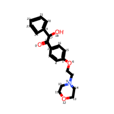 O=C(c1ccc(OCCN2CCOCC2)cc1)C(O)c1ccccc1